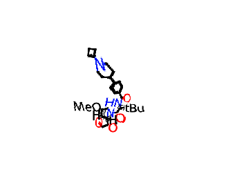 CO[C@@H]1CN(C(=O)[C@@H](NC(=O)c2ccc(C3CCN(C4CCC4)CC3)cc2)C(C)(C)C)[C@@H]2C(=O)CO[C@@H]21